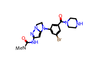 CNC(=O)Nc1cc2n(n1)CCN2c1cc(Br)cc(C(=O)N2CCNCC2)c1